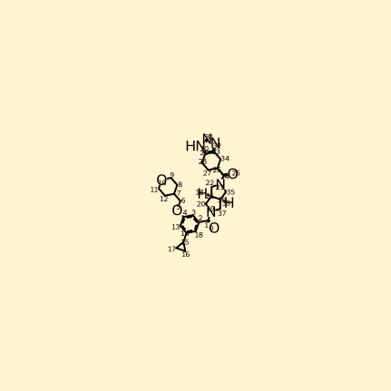 O=C(c1cc(OCC2CCOCC2)cc(C2CC2)c1)N1C[C@@H]2CN(C(=O)C3CCc4[nH]nnc4C3)C[C@H]2C1